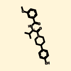 COc1cccc(C(=O)N[C@@H](C(=O)N2CCC(c3ccc(O)cc3)CC2)C(C)C)c1